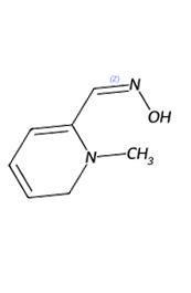 CN1CC=CC=C1/C=N\O